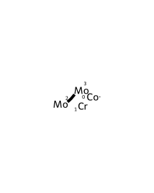 [Co].[Cr].[Mo][Mo]